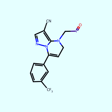 N#Cc1cnn2c1N(CI=O)CC=C2c1cccc(C(F)(F)F)c1